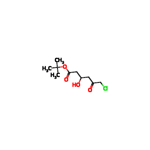 CC(C)(C)OC(=O)CC(O)CC(=O)CCl